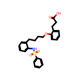 O=C(O)CCc1ccccc1OCCCCc1ccccc1NS(=O)(=O)c1ccccc1